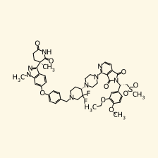 CCOc1cc([C@@H](CS(C)(=O)=O)N2C(=O)c3ccnc(N4CCN([C@H]5CCN(Cc6ccc(Oc7ccc8c([C@@]9(C)CCC(=O)NC9=O)nn(C)c8c7)cc6)CC5(F)F)CC4)c3C2=O)ccc1OC